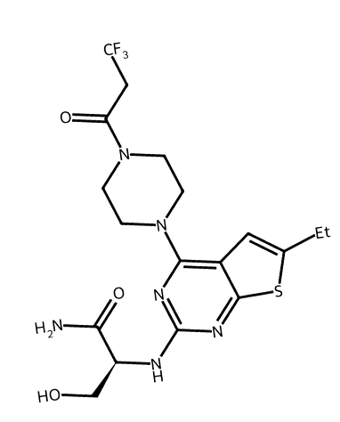 CCc1cc2c(N3CCN(C(=O)CC(F)(F)F)CC3)nc(N[C@@H](CO)C(N)=O)nc2s1